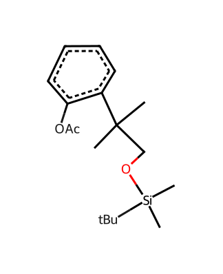 CC(=O)Oc1ccccc1C(C)(C)CO[Si](C)(C)C(C)(C)C